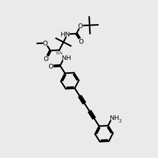 COC(=O)[C@@H](NC(=O)c1ccc(C#CC#Cc2ccccc2N)cc1)C(C)(C)NC(=O)OC(C)(C)C